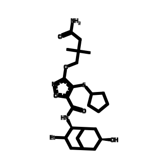 CCC1CC2CC(C[C@@H](O)C2)[C@@H]1NC(=O)c1onc(OCC(C)(C)CC(N)=O)c1SC1CCCC1